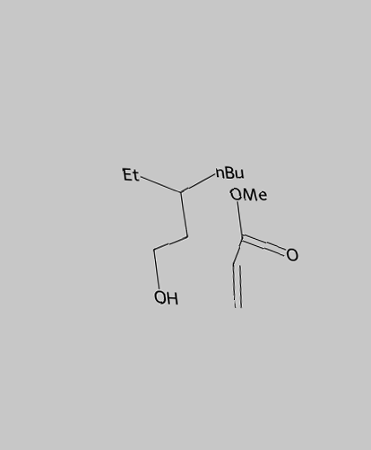 C=CC(=O)OC.CCCCC(CC)CCO